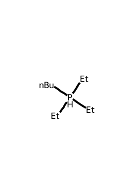 CCCC[PH](CC)(CC)CC